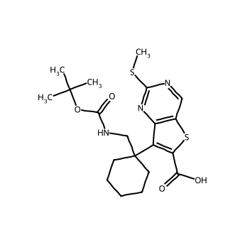 CSc1ncc2sc(C(=O)O)c(C3(CNC(=O)OC(C)(C)C)CCCCC3)c2n1